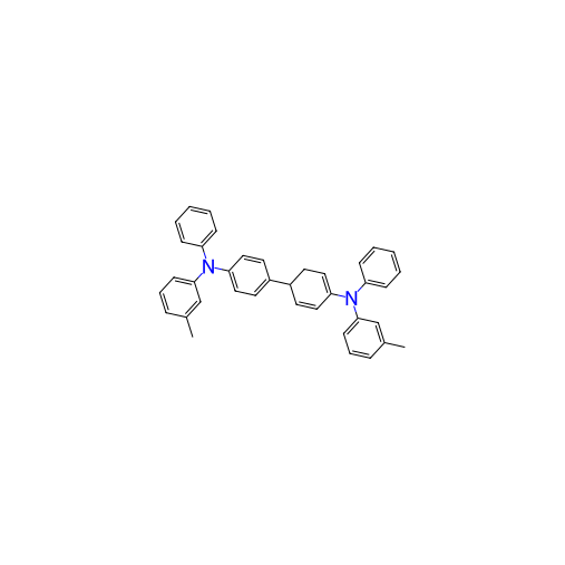 Cc1cccc(N(C2=CCC(c3ccc(N(c4ccccc4)c4cccc(C)c4)cc3)C=C2)c2ccccc2)c1